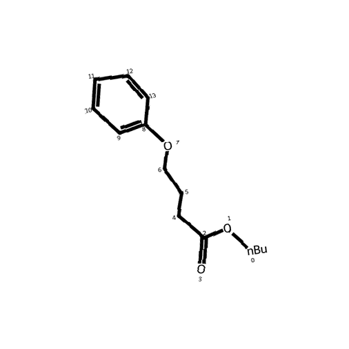 CCCCOC(=O)CCCOc1ccccc1